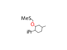 CSCOC1CC(C)CCC1C(C)C